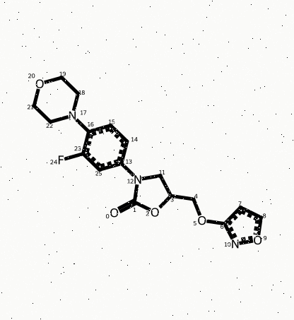 O=C1OC(COc2ccon2)CN1c1ccc(N2CCOCC2)c(F)c1